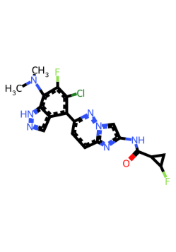 CN(C)c1c(F)c(Cl)c(-c2ccc3nc(NC(=O)C4CC4F)cn3n2)c2cn[nH]c12